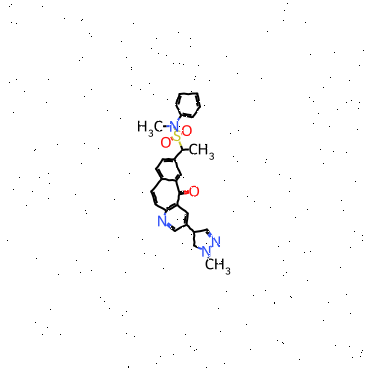 CC(c1ccc2ccc3ncc(C4C=NN(C)C4)cc3c(=O)c2c1)S(=O)(=O)N(C)c1ccccc1